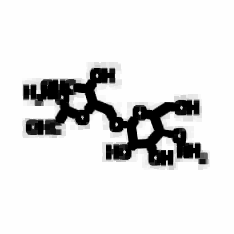 NOC(C=O)OC(CO[C@H]1OC(CO)[C@@H](ON)C(O)C1O)C(O)C=O